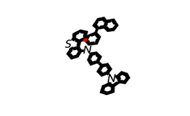 c1ccc2c(-c3ccc(N(c4ccc(-c5ccc(-n6c7ccccc7c7ccccc76)cc5)cc4)c4cccc5sc6ccccc6c45)cc3)cccc2c1